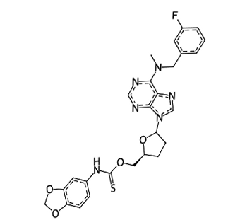 CN(Cc1cccc(F)c1)c1ncnc2c1ncn2C1CC[C@@H](COC(=S)Nc2ccc3c(c2)OCO3)O1